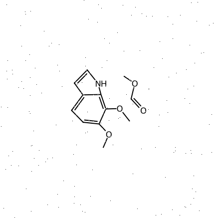 COC=O.COc1ccc2cc[nH]c2c1OC